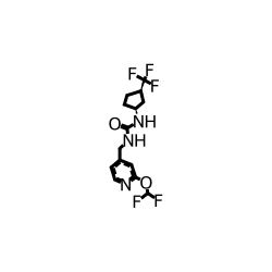 O=C(NCc1ccnc(OC(F)F)c1)N[C@@H]1CC[C@@H](C(F)(F)F)C1